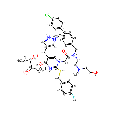 CCN(CCO)CCN(Cc1ccc(-c2ccc(Cl)cc2)cc1)C(=O)Cn1cc(Cc2cnn(C)c2)c(=O)nc1SCc1ccc(F)cc1.O=C(O)C(O)C(O)C(=O)O